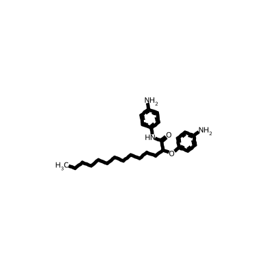 CCCCCCCCCCCCC(Oc1ccc(N)cc1)C(=O)Nc1ccc(N)cc1